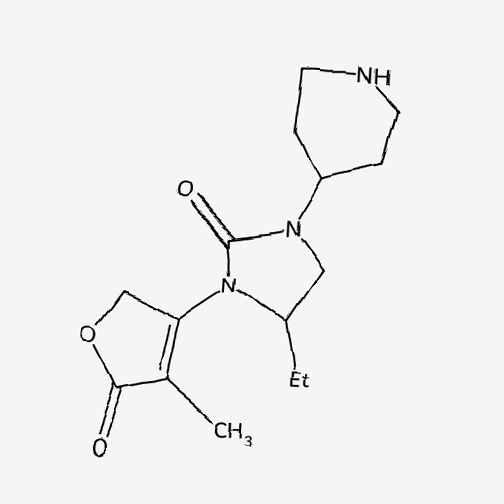 CCC1CN(C2CCNCC2)C(=O)N1C1=C(C)C(=O)OC1